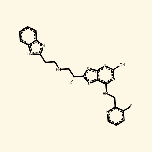 Oc1nc(NCc2ncccc2F)c2nc([C@H](F)CNCCc3nc4ccccc4[nH]3)oc2n1